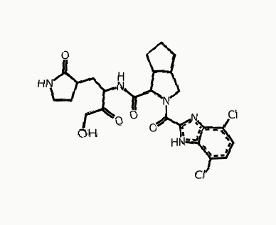 O=C1NCCC1CC(NC(=O)C1C2CCCC2CN1C(=O)c1nc2c(Cl)ccc(Cl)c2[nH]1)C(=O)CO